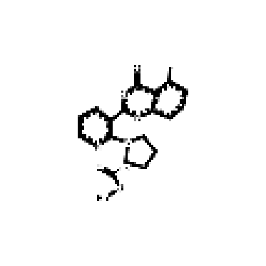 Cc1cccc2nc(-c3cccnc3N3CCC[C@@H]3C(=O)OC(C)(C)C)oc(=O)c12